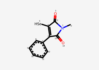 CN1C(=O)C([SeH])=C(c2ccccc2)C1=O